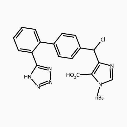 CCCCn1cnc(C(Cl)c2ccc(-c3ccccc3-c3nnn[nH]3)cc2)c1C(=O)O